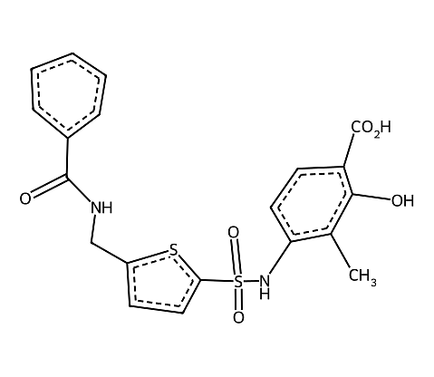 Cc1c(NS(=O)(=O)c2ccc(CNC(=O)c3ccccc3)s2)ccc(C(=O)O)c1O